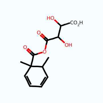 CC1C=CC=CC1(C)C(=O)OC(=O)C(O)C(O)C(=O)O